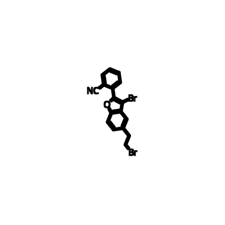 N#Cc1ccccc1-c1oc2ccc(CCBr)cc2c1Br